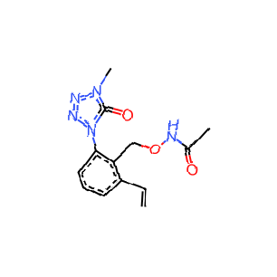 C=Cc1cccc(-n2nnn(C)c2=O)c1CONC(C)=O